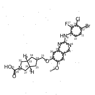 COc1cc2cnc(Nc3ccc(Br)c(Cl)c3F)nc2cc1OCC1C[C@@H]2CN(C(=O)O)C[C@@H]2C1